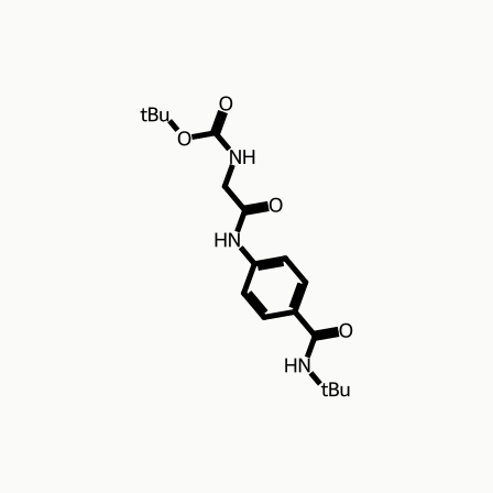 CC(C)(C)NC(=O)c1ccc(NC(=O)CNC(=O)OC(C)(C)C)cc1